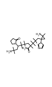 CC(C)(N)CC(N1CCCC1=O)C(C)(C)C(C)(C)CC(C)(C(N)=O)C(C)(C)C(C)(C)CC1(n2ccnc2)CC1(C)N